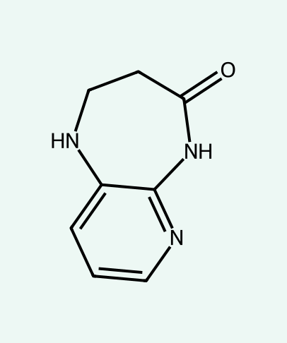 O=C1CCNc2cccnc2N1